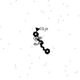 CCC(C)n1c(CCCc2ccccc2)ccc1C(=O)Nc1cc([C@H]2C[C@H]2C(=O)O)ccc1OC